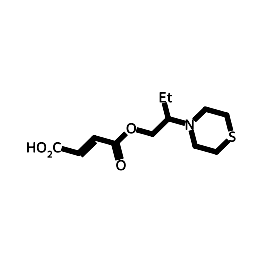 CCC(COC(=O)C=CC(=O)O)N1CCSCC1